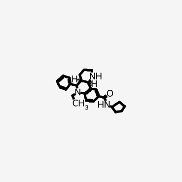 CCN1c2ccc(C(=O)NC3CCCC3)cc2[C@H]2NCCC[C@H]2C1c1ccccc1